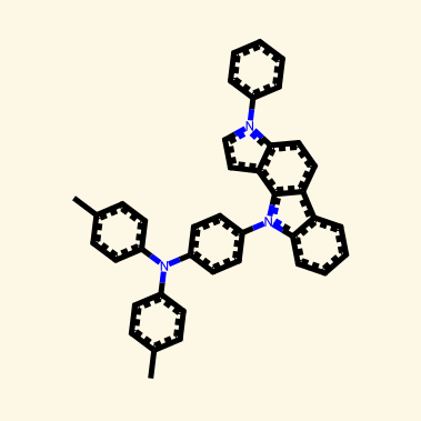 Cc1ccc(N(c2ccc(C)cc2)c2ccc(-n3c4ccccc4c4ccc5c(ccn5-c5ccccc5)c43)cc2)cc1